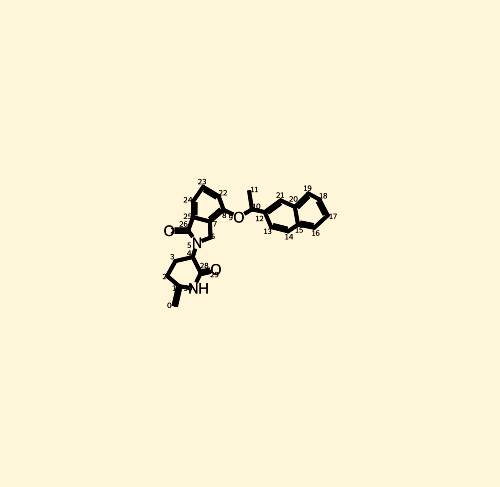 C=C1CCC(N2Cc3c(OC(C)c4ccc5ccccc5c4)cccc3C2=O)C(=O)N1